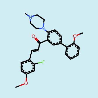 COc1ccc(C=CC(=O)c2cc(-c3ccccc3OC)ccc2N2CCN(C)CC2)c(F)c1